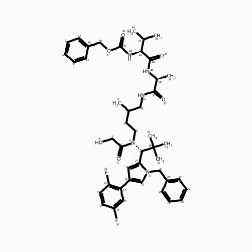 CC(CCN(C(=O)CO)[C@@H](c1cc(-c2cc(F)ccc2F)cn1Cc1ccccc1)C(C)(C)C)CNC(=O)[C@H](C)NC(=O)[C@@H](NC(=O)OCc1ccccc1)C(C)C